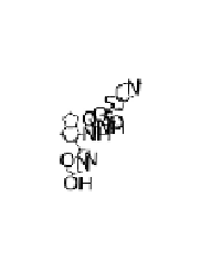 CN1CCc2sc(S(=O)(=O)NC(=O)Nc3c(-c4cnn5c4OCC(O)C5)ccc4c3CCC4)cc2C1